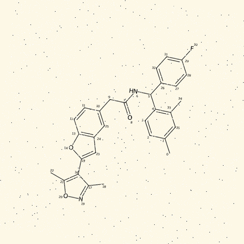 Cc1ccc(C(NC(=O)Cc2ccc3oc(-c4c(C)noc4C)cc3c2)c2ccc(F)cc2)c(C)c1